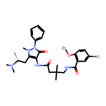 CCOc1ccc(Cl)cc1C(=O)NCC(C)(C)CC(=O)Nc1c(C[C@@H](C)N(C)C)n(C)n(-c2ccccc2)c1=O